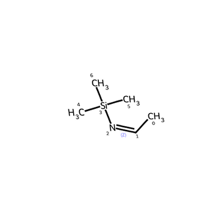 C/C=N\[Si](C)(C)C